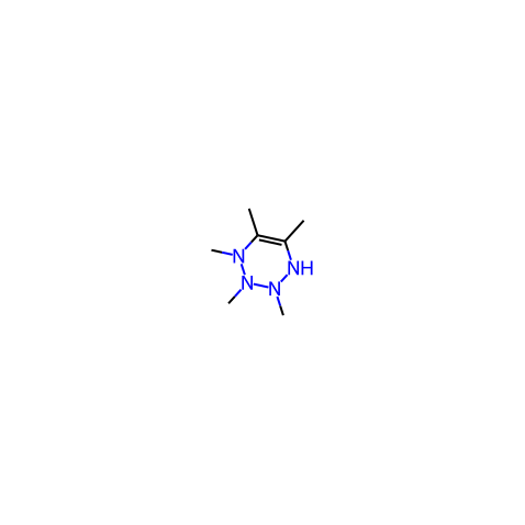 Cc1[nH]n(C)n(C)n(C)c1C